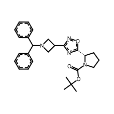 CC(C)(C)OC(=O)N1CCC[C@H]1c1nc(C2CN(C(c3ccccc3)c3ccccc3)C2)no1